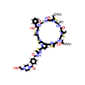 CNC(=O)C[C@@H]1NC(=O)c2csc(n2)-c2ccc(-c3nc(NC(=O)[C@H]4CC[C@H](C(=O)N5CCN(CCO)CC5)CC4)cs3)nc2-c2csc(n2)-c2csc(n2)[C@H]([C@@H](O)c2ccccc2)NC(=O)CNC(=O)c2nc(sc2COC)[C@H](C(C)C)NC(=O)c2nc1sc2C